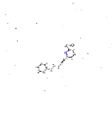 O=Cc1cccc(C#CCCCc2ccccc2)n1